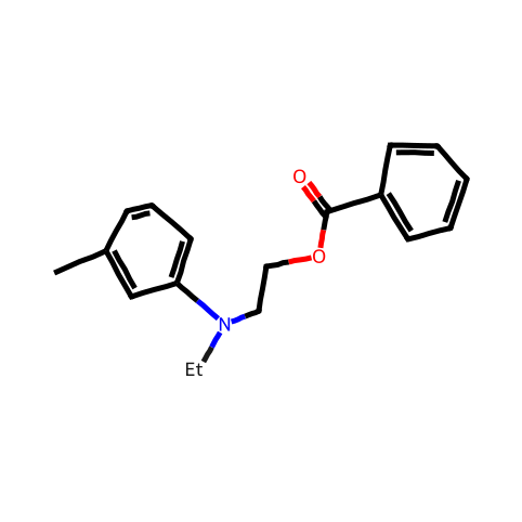 CCN(CCOC(=O)c1ccccc1)c1cccc(C)c1